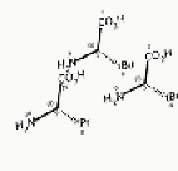 CC(C)(C)[C@H](N)C(=O)O.CC(C)(C)[C@H](N)C(=O)O.CC(C)[C@H](N)C(=O)O